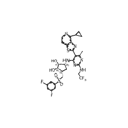 Cc1nc(NCC(F)(F)F)nc(N[C@@H]2C[C@H](CS(=O)(=O)c3cc(F)cc(F)c3)[C@@H](O)[C@H]2O)c1-c1nc2c(C3CC3)nccc2s1